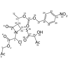 CC(=O)COC(=O)C(Cl)N1C(=O)[C@H](C(C)OC(=O)OCc2ccc([N+](=O)[O-])cc2)[C@@H]1SC(=O)C(O)C(C)=O